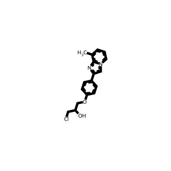 Cc1cccn2cc(-c3ccc(OCC(O)CCl)cc3)nc12